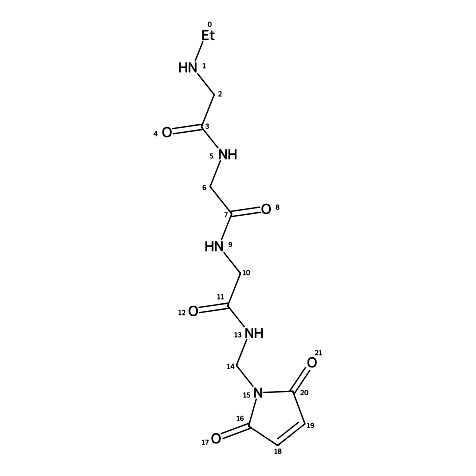 CCNCC(=O)NCC(=O)NCC(=O)NCN1C(=O)C=CC1=O